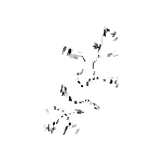 CNC(=O)c1c(C)sc(C(=O)C(=O)NC(C)(C)C)c1C